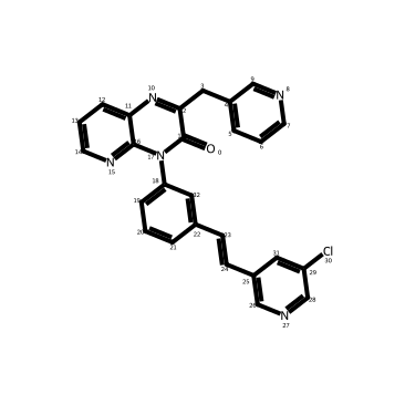 O=c1c(Cc2cccnc2)nc2cccnc2n1-c1cccc(C=Cc2cncc(Cl)c2)c1